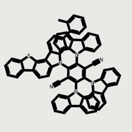 Cc1ccccc1-c1ccc2c3c4sc5ccccc5c4ccc3n(-c3c(C#N)c(-n4c5ccccc5c5ccccc54)c(-n4c5ccccc5c5ccccc54)c(C#N)c3-n3c4ccccc4c4ccccc43)c2c1